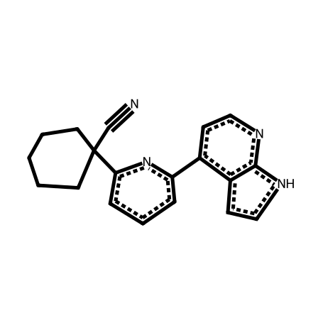 N#CC1(c2cccc(-c3ccnc4[nH]ccc34)n2)CCCCC1